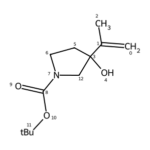 C=C(C)C1(O)CCN(C(=O)OC(C)(C)C)C1